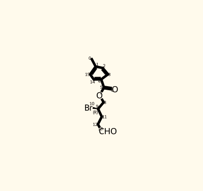 Cc1ccc(C(=O)OC[C@H](Br)CCC=O)cc1